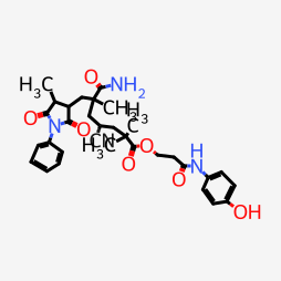 CC1C(=O)N(c2ccccc2)C(=O)C1CC(C)(CC(C#N)CC(C)(C)C(=O)OCCC(=O)Nc1ccc(O)cc1)C(N)=O